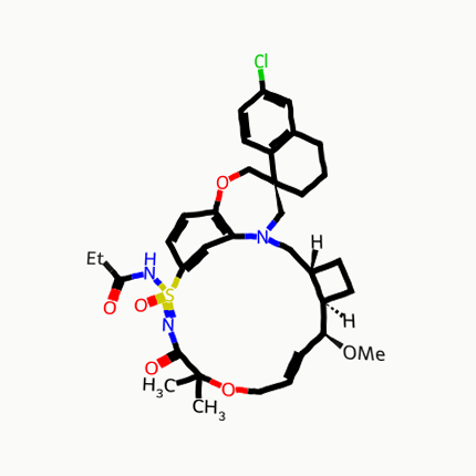 CCC(=O)NS1(=O)=NC(=O)C(C)(C)OC/C=C/[C@H](OC)[C@@H]2CC[C@H]2CN2C[C@@]3(CCCc4cc(Cl)ccc43)COc3ccc1cc32